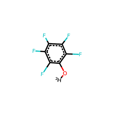 [2H]Oc1c(F)c(F)c(F)c(F)c1F